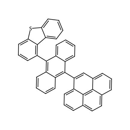 c1cc2ccc3cccc4c(-c5c6ccccc6c(-c6cccc7sc8ccccc8c67)c6ccccc56)cc(c1)c2c34